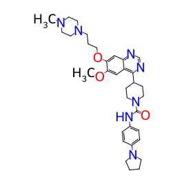 COc1cc2c(C3CCN(C(=O)Nc4ccc(N5CCCC5)cc4)CC3)ncnc2cc1OCCCN1CCN(C)CC1